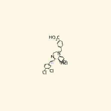 Cl.Cl.O=C(O)c1ccc(CN2CCN=C(/C=C/c3ccc(Cl)c(Cl)c3)c3ccccc32)cc1